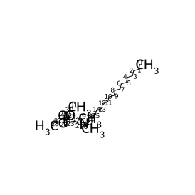 CCCCCCCCCCCCCCCCCC[N+](C)(C)CCCP(=O)(OCC)OCC